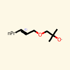 CCC/C=C/COCC(C)(C)[O]